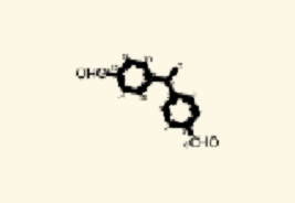 CC(c1ccc(C=O)cc1)c1ccc(C=O)cc1